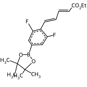 CCOC(=O)/C=C/C=C/c1c(F)cc(B2OC(C)(C)C(C)(C)O2)cc1F